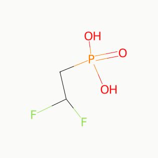 O=P(O)(O)CC(F)F